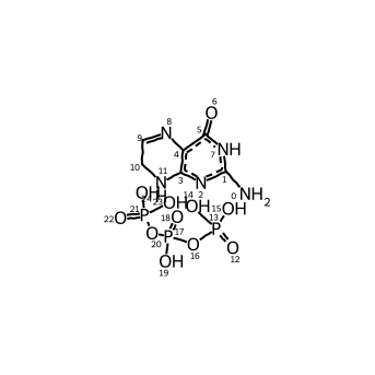 Nc1nc2c(c(=O)[nH]1)N=CCN2.O=P(O)(O)OP(=O)(O)OP(=O)(O)O